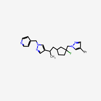 CC(C)c1cnn(CC2(F)CCC(CC(C)c3cnn(Cc4ccncc4)c3)C2)c1